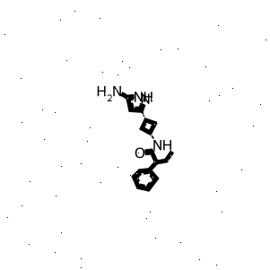 CCC(C(=O)N[C@H]1C[C@@H](c2cc(N)[nH]n2)C1)c1ccccc1